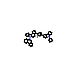 c1ccc(-n2c3ccccc3c3cc(-c4ccc5c(c4)Oc4cc6c(c7cccc-5c47)c4ccccc4n6-c4cc5ccccc5c5ccccc45)ccc32)cc1